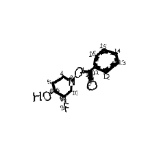 O=C(ON1CC[C@@H](O)[C@@H](F)C1)c1ccccc1